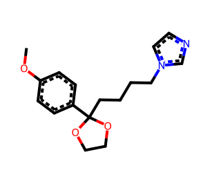 COc1ccc(C2(CCCCn3ccnc3)OCCO2)cc1